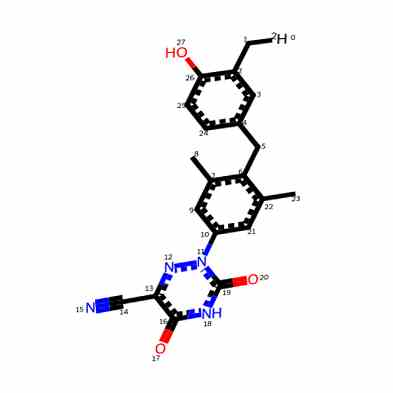 [2H]Cc1cc(Cc2c(C)cc(-n3nc(C#N)c(=O)[nH]c3=O)cc2C)ccc1O